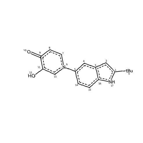 CC(C)(C)c1cc2cc(-n3ccc(=O)c(O)c3)ccc2[nH]1